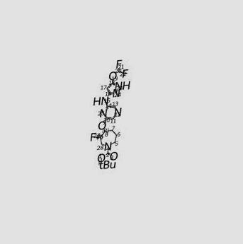 CC(C)(C)OC(=O)N1CCC[C@@H](Oc2cncc(Nc3cc(OC(F)F)[nH]n3)n2)[C@H](F)C1